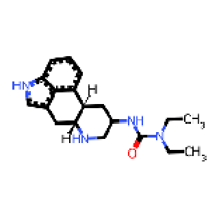 CCN(CC)C(=O)NC1CN[C@@H]2Cc3c[nH]c4cccc(c34)[C@H]2C1